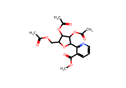 COC(=O)c1cccnc1C1OC(COC(C)=O)C(OC(C)=O)C1OC(C)=O